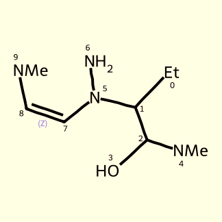 CCC(C(O)NC)N(N)/C=C\NC